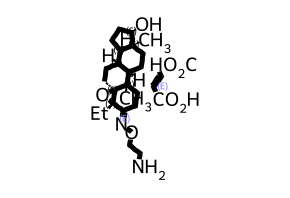 CC[C@@]12O[C@]13CC[C@H]1[C@@H]4CC[C@H](O)[C@@]4(C)CC[C@@H]1[C@@]3(C)CC/C2=N\OCCN.O=C(O)/C=C/C(=O)O